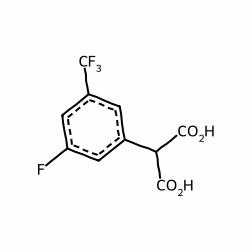 O=C(O)C(C(=O)O)c1cc(F)cc(C(F)(F)F)c1